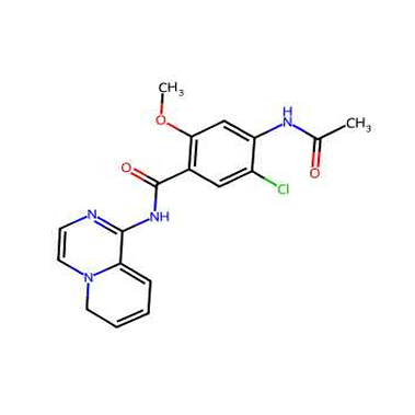 COc1cc(NC(C)=O)c(Cl)cc1C(=O)NC1=NC=CN2CC=CC=C12